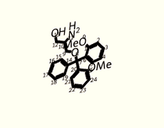 COc1ccccc1C(OCC(N)CO)(c1ccccc1)c1ccccc1OC